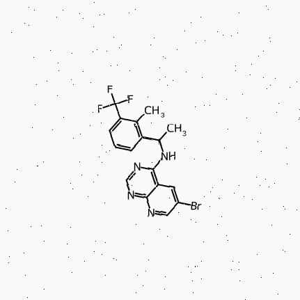 Cc1c(C(C)Nc2ncnc3ncc(Br)cc23)cccc1C(F)(F)F